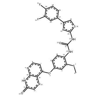 CSc1cc(Oc2ccnc3[nH]c(=O)cnc23)ccc1NC(=O)Nc1nc(-c2ccc(F)c(F)c2)cs1